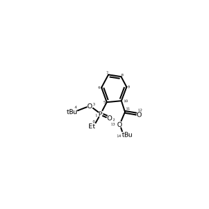 CCP(=O)(OC(C)(C)C)c1ccccc1C(=O)OC(C)(C)C